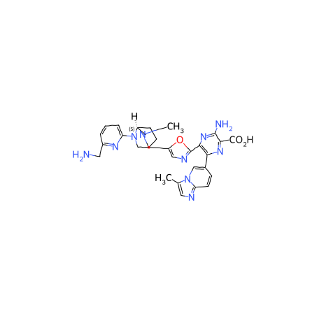 Cc1cnc2ccc(-c3nc(C(=O)O)c(N)nc3-c3ncc(C4C5CC[C@@H](CN4C)N(c4cccc(CN)n4)C5)o3)cn12